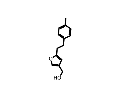 Cc1ccc(CCc2cc(CO)co2)cc1